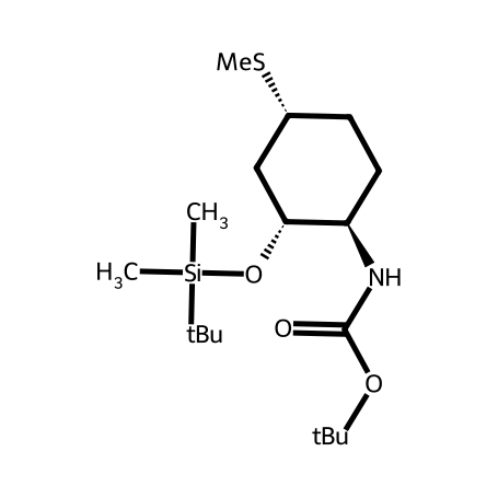 CS[C@@H]1CC[C@@H](NC(=O)OC(C)(C)C)[C@H](O[Si](C)(C)C(C)(C)C)C1